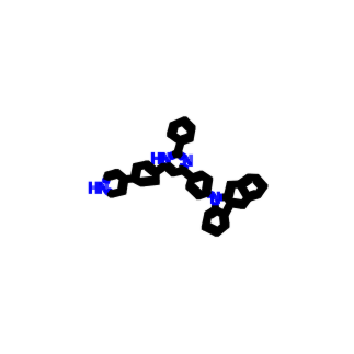 C1=CC(c2ccc(C3=CC(c4ccc(-n5c6ccccc6c6cc7ccccc7cc65)cc4)=NC(c4ccccc4)N3)cc2)=CCN1